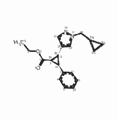 CCOC(=O)[C@@H]1[C@H](c2ccccc2)[C@H]1c1cnn(CC2CC2)c1